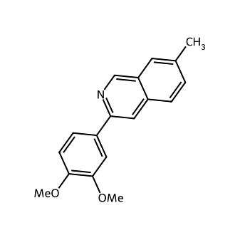 COc1ccc(-c2cc3ccc(C)cc3cn2)cc1OC